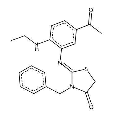 CCNc1ccc(C(C)=O)cc1N=C1SCC(=O)N1Cc1ccccc1